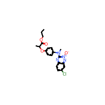 CCCOC(=O)C(C)Oc1ccc(N(C)c2nc3ccc(Cl)cc3n[n+]2[O-])cc1